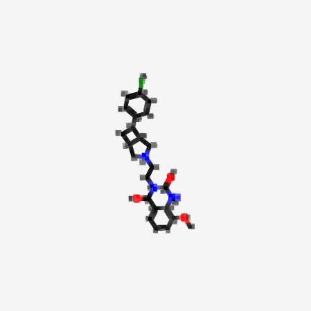 COc1cccc2c(=O)n(CCN3CC4CC(c5ccc(F)cc5)C4C3)c(=O)[nH]c12